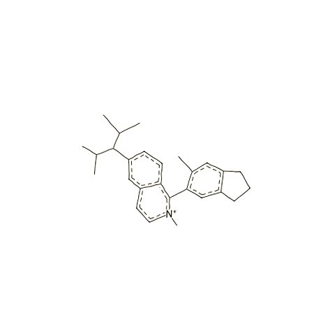 Cc1cc2c(cc1-c1c3ccc(C(C(C)C)C(C)C)cc3cc[n+]1C)CCC2